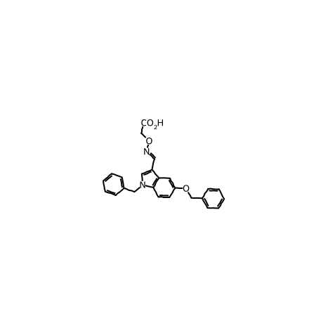 O=C(O)CON=Cc1cn(Cc2ccccc2)c2ccc(OCc3ccccc3)cc12